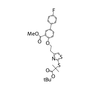 COC(=O)c1cc(-c2ccc(F)cc2)ccc1OCCc1csc(SC(C)(C)C(=O)OC(C)(C)C)n1